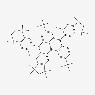 Cc1cc2c(cc1N1c3cc4c(cc3B3c5cc(C(C)(C)C)ccc5N(c5cc6c(cc5C)C(C)(C)CC6(C)C)c5cc(C(C)(C)C)cc1c53)C(C)(C)CC4(C)C)C(C)(C)CCC2(C)C